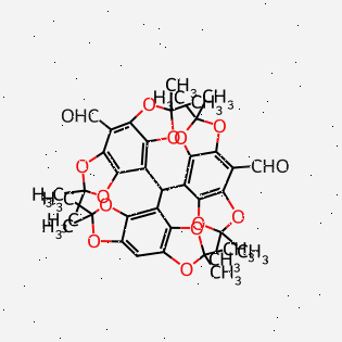 CC1(C)Oc2cc3c(c([C](c4c5c(c(C=O)c6c4OC(C)(C)O6)OC(C)(C)O5)c4c5c(c(C=O)c6c4OC(C)(C)O6)OC(C)(C)O5)c2O1)OC(C)(C)O3